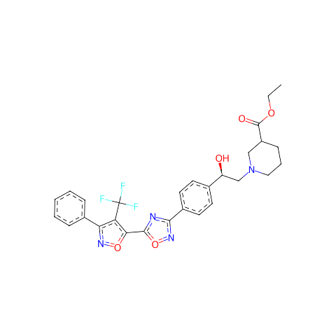 CCOC(=O)C1CCCN(C[C@H](O)c2ccc(-c3noc(-c4onc(-c5ccccc5)c4C(F)(F)F)n3)cc2)C1